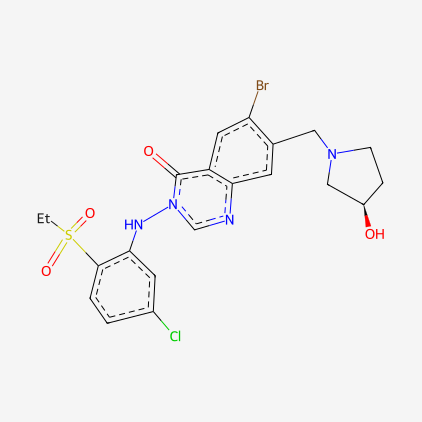 CCS(=O)(=O)c1ccc(Cl)cc1Nn1cnc2cc(CN3CC[C@@H](O)C3)c(Br)cc2c1=O